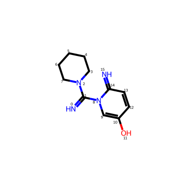 N=C(N1CCCCC1)n1cc(O)ccc1=N